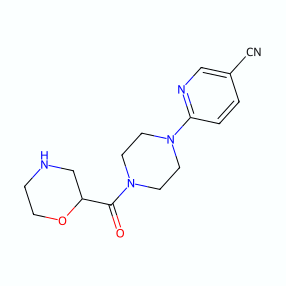 N#Cc1ccc(N2CCN(C(=O)C3CNCCO3)CC2)nc1